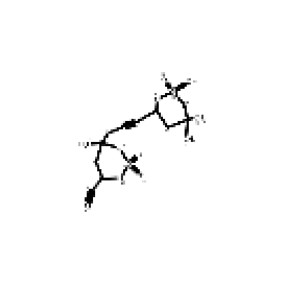 C#CC1CC(C)(CC#CC2CC(C)(C)CS(=O)(=O)O2)OS(=O)(=O)O1